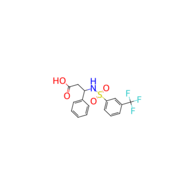 O=C(O)CC(NS(=O)(=O)c1cccc(C(F)(F)F)c1)c1ccccc1